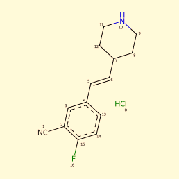 Cl.N#Cc1cc(/C=C/C2CCNCC2)ccc1F